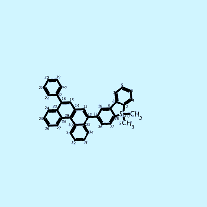 C[Si]1(C)c2ccccc2-c2cc(-c3cc4cc(-c5ccccc5)c5ccccc5c4c4ccccc34)ccc21